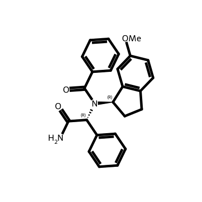 COc1ccc2c(c1)[C@H](N(C(=O)c1ccccc1)[C@@H](C(N)=O)c1ccccc1)CC2